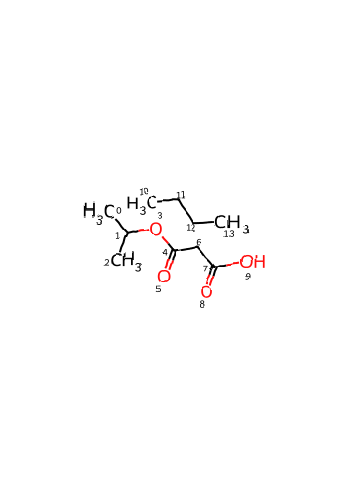 CC(C)OC(=O)CC(=O)O.CCCC